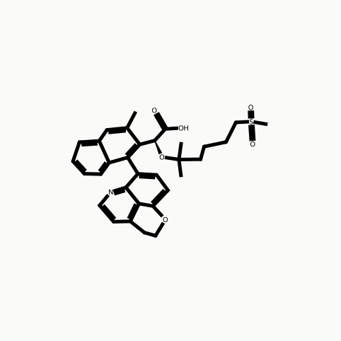 Cc1cc2ccccc2c(-c2ccc3c4c(ccnc24)CCO3)c1[C@H](OC(C)(C)CCCCS(C)(=O)=O)C(=O)O